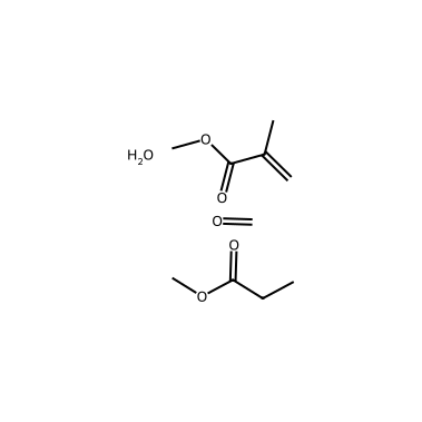 C=C(C)C(=O)OC.C=O.CCC(=O)OC.O